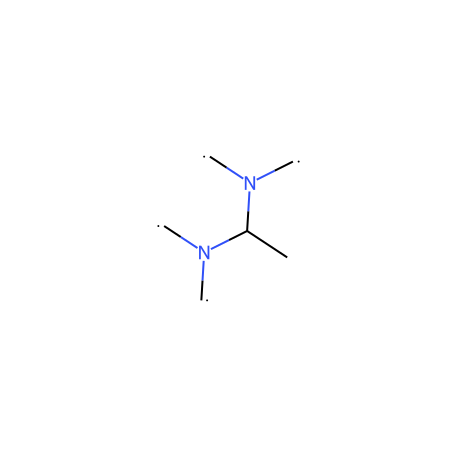 [CH2]N([CH2])C(C)N([CH2])[CH2]